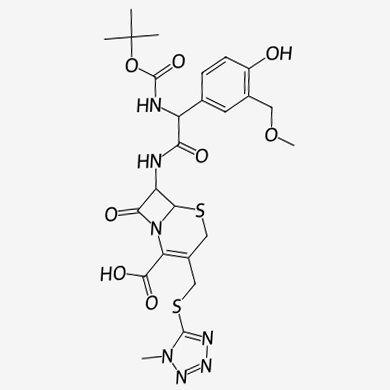 COCc1cc(C(NC(=O)OC(C)(C)C)C(=O)NC2C(=O)N3C(C(=O)O)=C(CSc4nnnn4C)CSC23)ccc1O